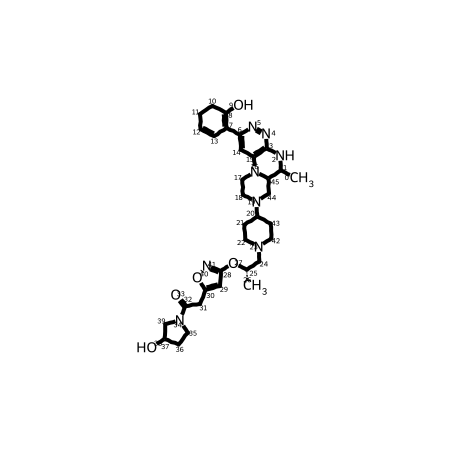 CC1Nc2nnc(C3=C(O)CCC=C3)cc2N2CCN(C3CCN(C[C@H](C)Oc4cc(CC(=O)N5CCC(O)C5)on4)CC3)CC12